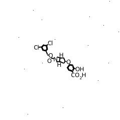 O=C(O)c1ccc(O[C@H]2C[C@@H]3CN(C(=O)OCc4cc(Cl)cc(Cl)c4)C[C@@H]3C2)cc1O